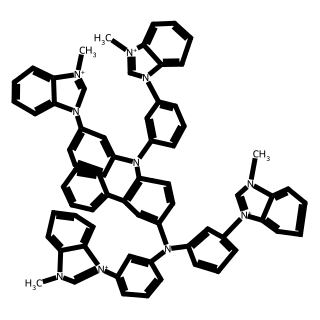 Cn1c[n+](-c2cccc(N(c3cccc(-[n+]4cn(C)c5ccccc54)c3)c3ccc(N(c4cccc(-n5c[n+](C)c6ccccc65)c4)c4cccc(-n5c[n+](C)c6ccccc65)c4)c(-c4ccccc4)c3)c2)c2ccccc21